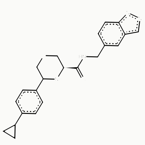 O=C(NCc1ccc2[nH]ncc2c1)[C@@H]1[CH]SCC(c2ccc(C3CC3)cc2)N1